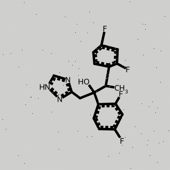 CC(c1ccc(F)cc1F)C(O)(Cc1nc[nH]n1)c1ccc(F)cc1F